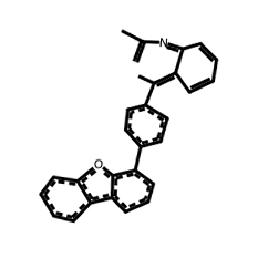 C=C(C)/N=C1/C=CC=C/C1=C(/C)c1ccc(-c2cccc3c2oc2ccccc23)cc1